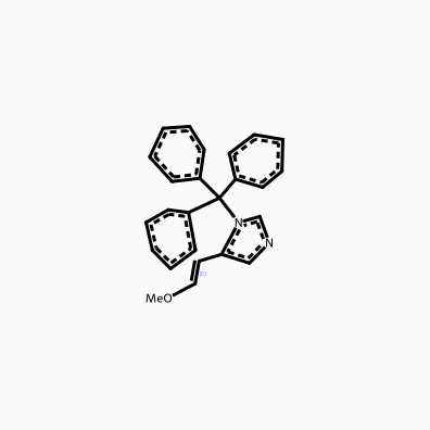 CO/C=C/c1cncn1C(c1ccccc1)(c1ccccc1)c1ccccc1